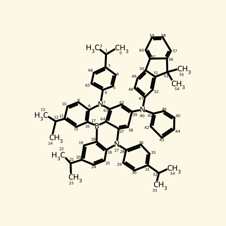 CC(C)c1ccc(N2c3ccc(C(C)C)cc3B3c4cc(C(C)C)ccc4N(c4ccc(C(C)C)cc4)c4cc(N(c5ccccc5)c5ccc6c(c5)C(C)(C)c5ccccc5-6)cc2c43)cc1